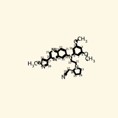 COc1cc(OC)cc(N(CCN2CCC[C@H]2CC#N)c2ccc3ncc(-c4cnn(C)c4)nc3c2)c1